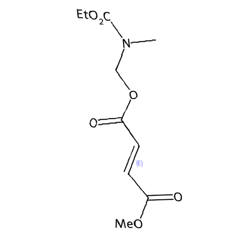 CCOC(=O)N(C)COC(=O)/C=C/C(=O)OC